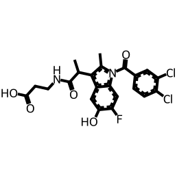 Cc1c(C(C)C(=O)NCCC(=O)O)c2cc(O)c(F)cc2n1C(=O)c1ccc(Cl)c(Cl)c1